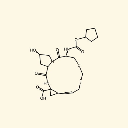 O=C(N[C@H]1CCCCC/C=C\C2CC2(C(=O)O)NC(=O)C2C[C@@H](O)CN2C1=O)OC1CCCC1